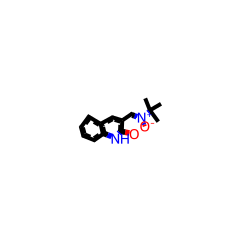 CC(C)(C)/[N+]([O-])=C/c1cc2ccccc2[nH]c1=O